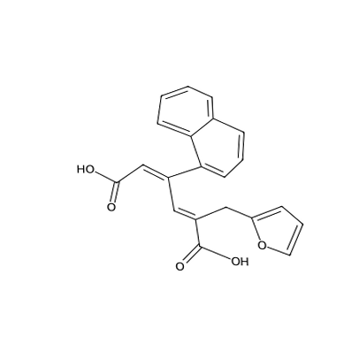 O=C(O)C=C(C=C(Cc1ccco1)C(=O)O)c1cccc2ccccc12